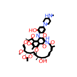 CNC1CCN(c2cc(O)c3nc4c5c6c7c(C)c8c5c(=O)c(c-4oc3c2)NC(=O)/C(C)=C\C=C\[C@H](C)[C@H](O)[C@@H](C)C[C@@H](O8)[C@H](OC(C)=O)[C@H](C)[C@@H](OC)/C=C/O[C@@](C)(O7)C6=O)CC1